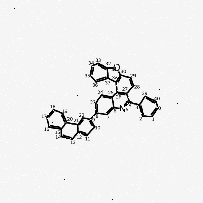 c1ccc(-c2nc3cc(-c4ccc5ccc6ccccc6c5c4)ccc3c3c2ccc2oc4ccccc4c23)cc1